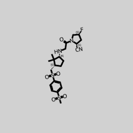 CC1(C)[C@@H](CS(=O)(=O)c2ccc(S(C)(=O)=O)cc2)CC[C@H]1NCC(=O)N1C[C@@H](F)C[C@H]1C#N